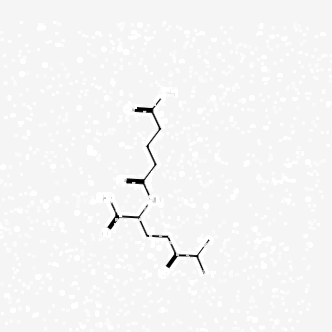 CC(C)C(=O)CCC(NC(=O)CCCC(=O)O)C(=O)O